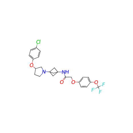 O=C(COc1ccc(OC(F)(F)F)cc1)NC12CC(N3CCC(Oc4ccc(Cl)cc4)C3)(C1)C2